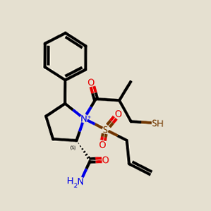 C=CCS(=O)(=O)[N+]1(C(=O)C(C)CS)C(c2ccccc2)CC[C@H]1C(N)=O